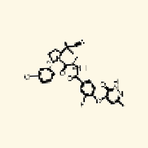 Cc1cc(Oc2ccc(C(=O)N[C@H](C)C(=O)N3C(C(C)(C)C#N)CC[C@H]3c3cccc(Cl)c3)cc2F)c(=O)[nH]n1